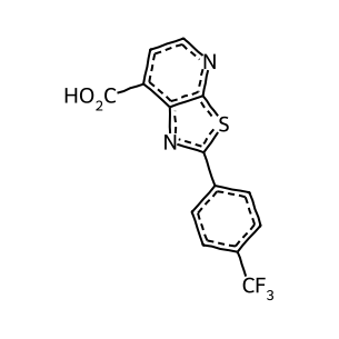 O=C(O)c1ccnc2sc(-c3ccc(C(F)(F)F)cc3)nc12